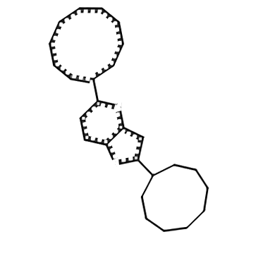 c1ccccc(-c2ccc3sc(C4CCCCCCCC4)cc3n2)cccc1